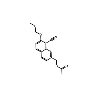 COCOc1ccc2ccc(COC(C)=O)nc2c1C#N